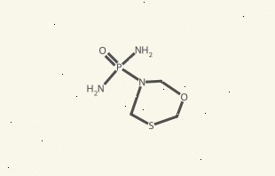 NP(N)(=O)N1COCSC1